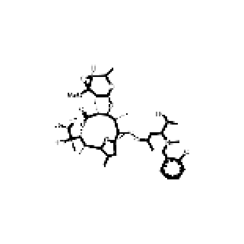 CC[C@@H](O)[C@@](C)(O)[C@@H]1OC(=O)[C@H](C)[C@@H](O[C@H]2CC3(OC)O[C@H]3C(C)O2)[C@H](C)[C@@H](OOC(C)CC(C(C)O)N(C)Cc2ccccc2Cl)[C@@]2(C)CC(C)C(O2)[C@@H]1C